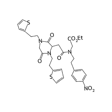 CCOC(=O)CN(CCc1ccc([N+](=O)[O-])cc1)C(=O)CC1C(=O)N(CCc2cccs2)CC(=O)N1CCc1cccs1